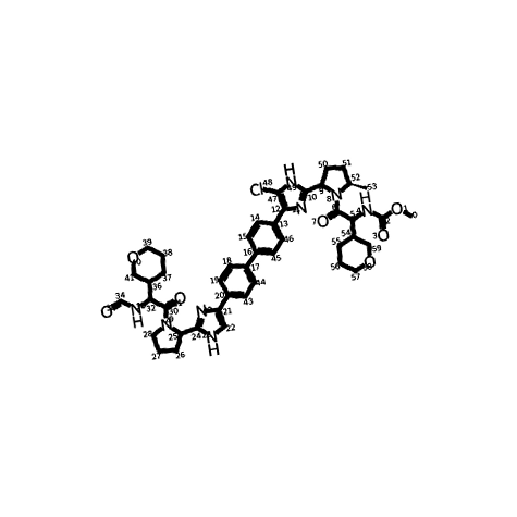 COC(=O)NC(C(=O)N1C(c2nc(-c3ccc(-c4ccc(-c5c[nH]c(C6CCCN6C(=O)C(NC=O)C6CCCOC6)n5)cc4)cc3)c(Cl)[nH]2)CC[C@H]1C)C1CCCOC1